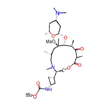 CO[C@]1(C)C[C@@H](C)CN(C)[C@H]([C@H]2C[C@@H](NC(=O)OC(C)(C)C)C2)COC(=O)C(C)C(=O)[C@H](C)[C@H]1O[C@H]1C[C@@H](N(C)C)C[C@@H](C)O1